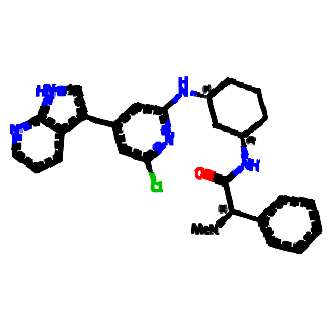 CN[C@@H](C(=O)N[C@@H]1CCC[C@@H](Nc2cc(-c3c[nH]c4ncccc34)cc(Cl)n2)C1)c1ccccc1